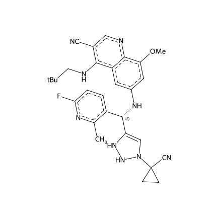 COc1cc(N[C@H](C2=CN(C3(C#N)CC3)NN2)c2ccc(F)nc2C)cc2c(NCC(C)(C)C)c(C#N)cnc12